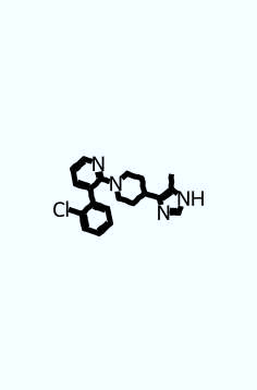 Cc1[nH]cnc1C1CCN(c2ncccc2-c2ccccc2Cl)CC1